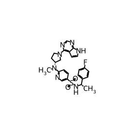 C[C@@H](NS(=O)(=O)c1ccc(N(C)[C@@H]2CCN(c3ncnc4[nH]ccc34)C2)nc1)c1ccc(F)cc1